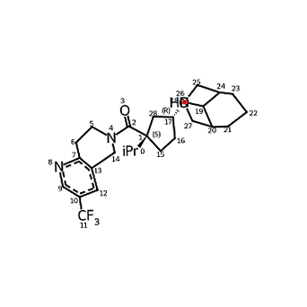 CC(C)[C@]1(C(=O)N2CCc3ncc(C(F)(F)F)cc3C2)CC[C@@H](NC2C3CCCC2COC3)C1